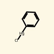 [Cl][Hg][c]1[c]cccc1